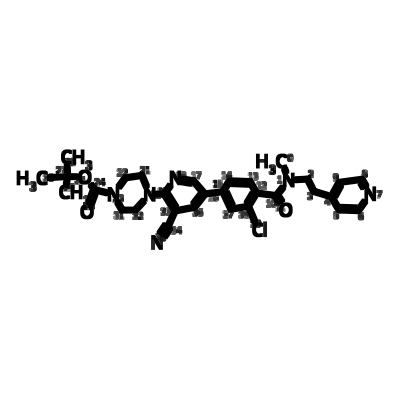 CN(CCc1ccncc1)C(=O)c1ccc(-c2cnc(N3CCN(C(=O)OC(C)(C)C)CC3)c(C#N)c2)cc1Cl